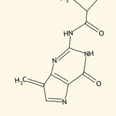 C=C1C=Nc2c1nc(NC(=O)C(C)C)[nH]c2=O